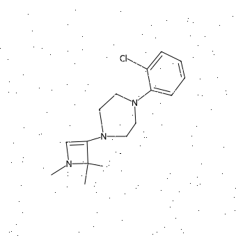 CN1C=C(N2CCN(c3ccccc3Cl)CC2)C1(C)C